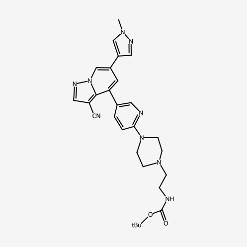 Cn1cc(-c2cc(-c3ccc(N4CCN(CCNC(=O)OC(C)(C)C)CC4)nc3)c3c(C#N)cnn3c2)cn1